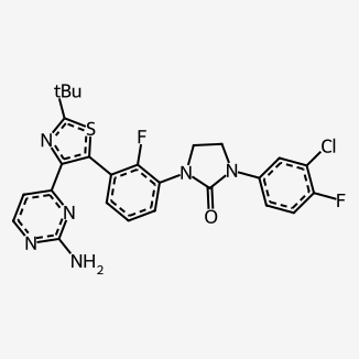 CC(C)(C)c1nc(-c2ccnc(N)n2)c(-c2cccc(N3CCN(c4ccc(F)c(Cl)c4)C3=O)c2F)s1